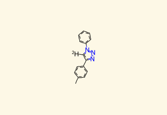 [2H]c1c(-c2ccc(C)cc2)nnn1-c1ccccc1